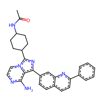 CC(=O)NC1CCC(c2nc(-c3ccc4ccc(-c5ccccc5)nc4c3)c3c(N)nccn23)CC1